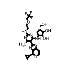 Cc1nc(NCCOCC(F)(F)F)nc(NC2C[C@H](CO)[C@@H](O)[C@H]2O)c1-c1nc2c(C3CC3)nccc2s1